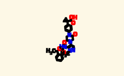 CC(OC(=O)Nc1c(N2CC(=O)N(c3ccc(C4(C(=O)O)CC4)cc3)CC2=O)cnn1C)c1ccccc1